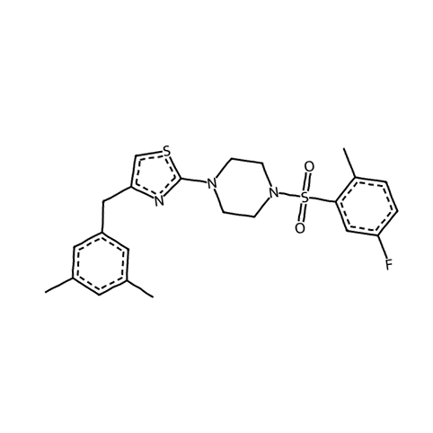 Cc1cc(C)cc(Cc2csc(N3CCN(S(=O)(=O)c4cc(F)ccc4C)CC3)n2)c1